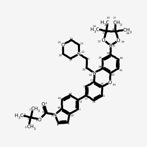 CC(C)(C)OC(=O)n1ccc2cc(-c3ccc4c(c3)N(CCN3CCOCC3)c3cc(B5OC(C)(C)C(C)(C)O5)ccc3O4)ccc21